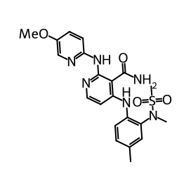 COc1ccc(Nc2nccc(Nc3ccc(C)cc3N(C)S(C)(=O)=O)c2C(N)=O)nc1